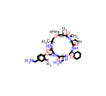 CCCCCC[C@H]1OC[C@@H](C)NC(=O)[C@H](COc2ccc(CN)cc2C)NC(=O)[C@H](CN)NC(=O)[C@H](C2CCCCC2)NC(=O)[C@H](CC(C)C)N(C)C(=O)[C@@H]1C